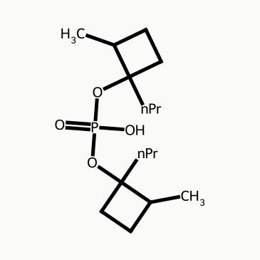 CCCC1(OP(=O)(O)OC2(CCC)CCC2C)CCC1C